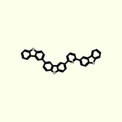 c1cc(-c2ccc3oc4ccccc4c3c2)nc(-c2ccc3oc4ccc(-c5ccc6oc7ccccc7c6c5)cc4c3c2)c1